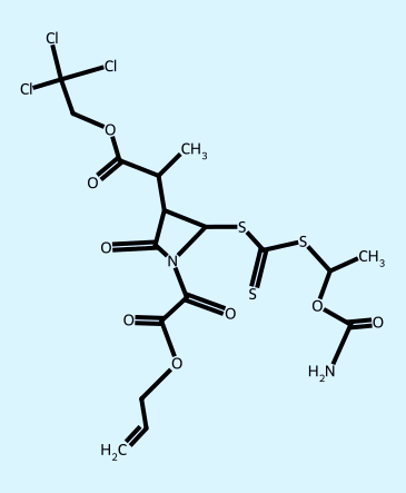 C=CCOC(=O)C(=O)N1C(=O)C(C(C)C(=O)OCC(Cl)(Cl)Cl)C1SC(=S)SC(C)OC(N)=O